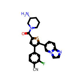 N#Cc1ccc(-c2cc(C(=O)N3CCC[C@@H](N)C3)sc2-c2ccc3nccn3c2)cc1F